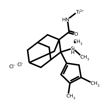 CC1=C(C)CC(C2([SiH](C)C)C3CC4CC(C3)CC2(C(=O)[NH][Ti+2])C4)=C1.[Cl-].[Cl-]